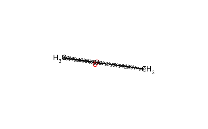 CCCCCCCCCCCCCCCCCCCCCCCCCCCCCCCCCCOC(=O)CCCCCCCCCCCCCCCCCCCCCCC